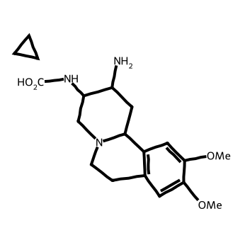 C1CC1.COc1cc2c(cc1OC)C1CC(N)C(NC(=O)O)CN1CC2